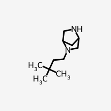 CC(C)(C)CCN1CC2CC1CN2